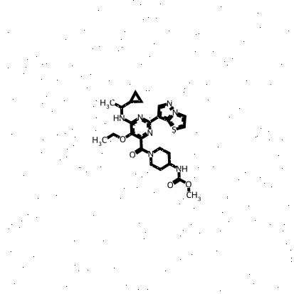 CCOc1c(NC(C)C2CC2)nc(-c2cnn3ccsc23)nc1C(=O)N1CCC(NC(=O)OC)CC1